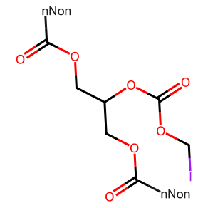 CCCCCCCCCC(=O)OCC(COC(=O)CCCCCCCCC)OC(=O)OCI